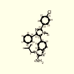 CC(C)Cn1c(N)nc2ccc(-c3c(-c4ccccc4)nc(-c4ccc(Cl)cc4)n3C)cc21